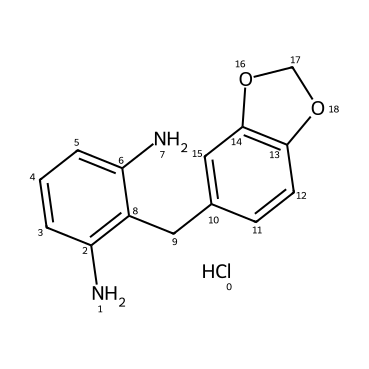 Cl.Nc1cccc(N)c1Cc1ccc2c(c1)OCO2